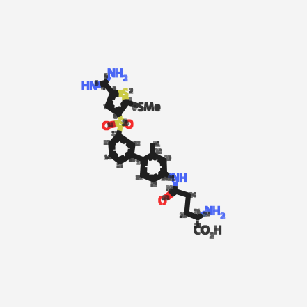 CSc1sc(C(=N)N)cc1S(=O)(=O)c1cccc(-c2ccc(NC(=O)CC[C@H](N)C(=O)O)cc2C)c1